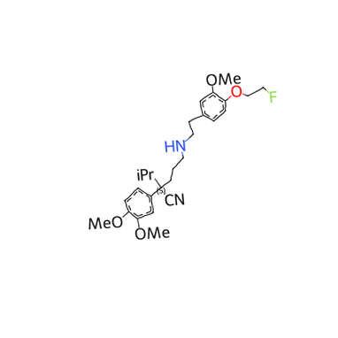 COc1ccc([C@](C#N)(CCCNCCc2ccc(OCCF)c(OC)c2)C(C)C)cc1OC